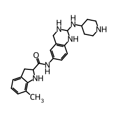 Cc1cccc2c1NC(C(=O)Nc1ccc3c(c1)CNC(NC1CCNCC1)N3)C2